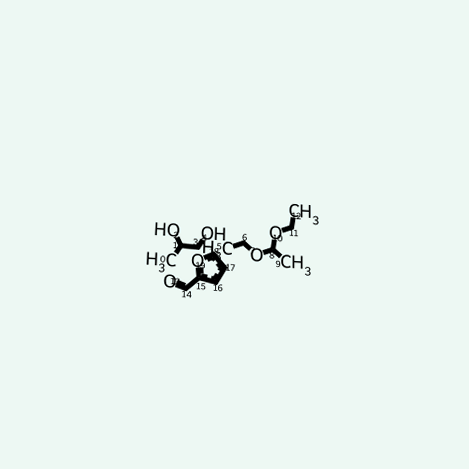 CC(O)CO.CCOC(C)OCC.O=Cc1ccco1